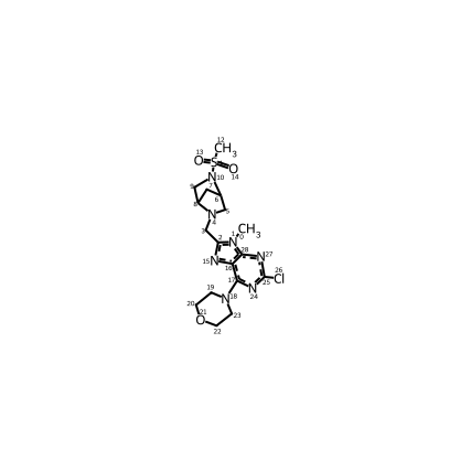 Cn1c(CN2CC3CC2CN3S(C)(=O)=O)nc2c(N3CCOCC3)nc(Cl)nc21